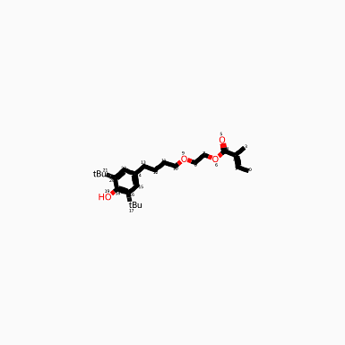 CC=C(C)C(=O)OCCOCCCCc1cc(C(C)(C)C)c(O)c(C(C)(C)C)c1